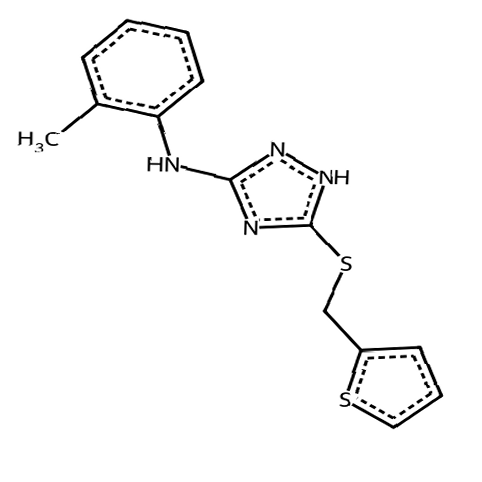 Cc1ccccc1Nc1n[nH]c(SCc2cccs2)n1